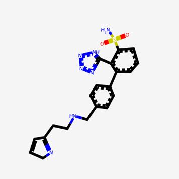 NS(=O)(=O)c1cccc(-c2ccc(CNCCC3=NCC=C3)cc2)c1-c1nnn[nH]1